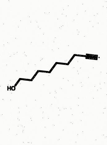 [C]#CCCCCCCCO